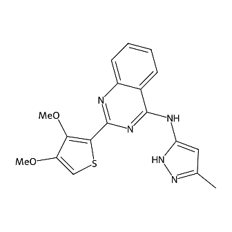 COc1csc(-c2nc(Nc3cc(C)n[nH]3)c3ccccc3n2)c1OC